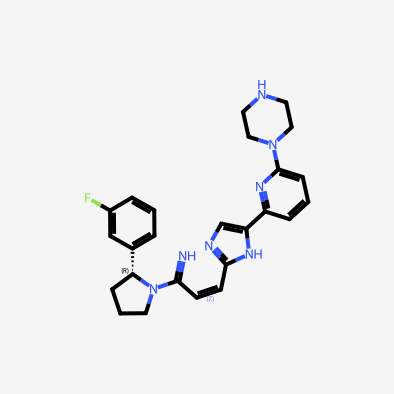 N=C(/C=C\c1ncc(-c2cccc(N3CCNCC3)n2)[nH]1)N1CCC[C@@H]1c1cccc(F)c1